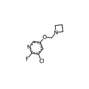 Fc1ncc(OCN2CCC2)cc1Cl